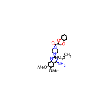 COc1cc2nc(N3CCN(C(=O)[C@@H]4COc5ccccc5O4)CC3)nc(N)c2cc1OC.CS(=O)(=O)O